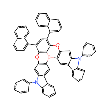 c1ccc(-n2c3ccccc3c3cc4c(cc32)Oc2c(-c3cccc5ccccc35)cc(-c3cccc5ccccc35)c3c2B4c2cc4c5ccccc5n(-c5ccccc5)c4cc2O3)cc1